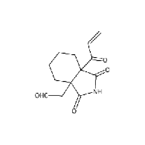 C=CC(=O)C12CCCCC1(CC=O)C(=O)NC2=O